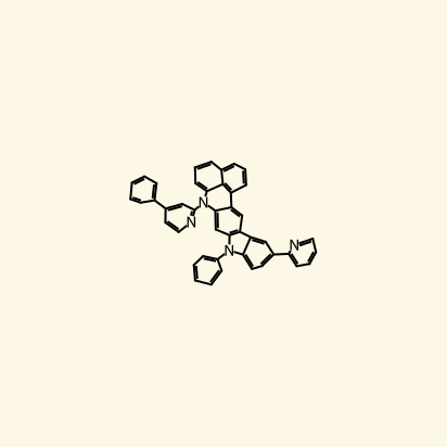 c1ccc(-c2ccnc(N3c4cc5c(cc4-c4cccc6cccc3c46)c3cc(-c4ccccn4)ccc3n5-c3ccccc3)c2)cc1